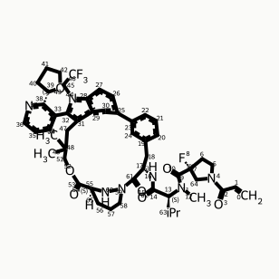 C=CC(=O)N1CC[C@](F)(C(=O)N(C)[C@H](C(=O)N[C@H]2Cc3cccc(c3)-c3ccc4c(c3)c(c(-c3cccnc3[C@@H]3CCCO3)n4CC(F)(F)F)CC(C)(C)COC(=O)[C@@H]3CCCN(N3)C2=O)C(C)C)C1